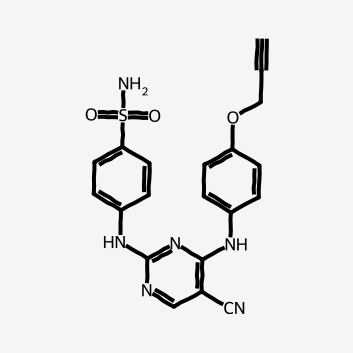 C#CCOc1ccc(Nc2nc(Nc3ccc(S(N)(=O)=O)cc3)ncc2C#N)cc1